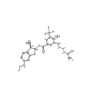 CCOc1ccc2c(c1)CN(CC(=O)c1cc(OCCCC(N)=O)c(O)c(C(C)(C)C)c1)C2=N